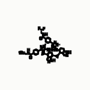 Cn1nc(-c2ccc(C(=O)NCC(F)F)cc2)nc1Nc1ccc2[nH]ncc2c1C1CC1c1cc(Nc2nc(-c3ccc(C(=O)NCC(C)(C)C)cc3)nn2C)c(C2CC2)c2cn[nH]c12